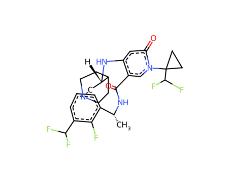 C[C@@H](NC(=O)c1cn(C2(C(F)F)CC2)c(=O)cc1N[C@H]1CN2CCC1CC2)c1cccc(C(F)F)c1F